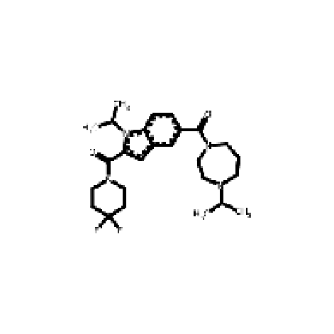 CC(C)N1CCCN(C(=O)c2ccc3c(c2)cc(C(=O)N2CCC(F)(F)CC2)n3C(C)C)CC1